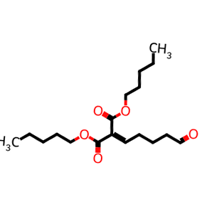 CCCCCOC(=O)C(=CCCCC=O)C(=O)OCCCCC